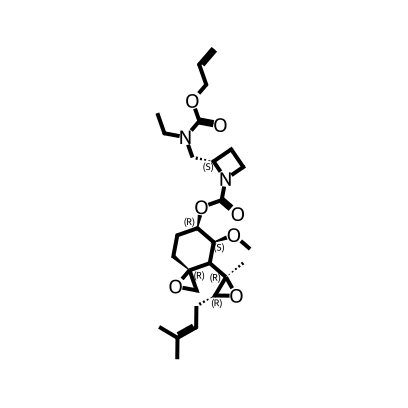 C=CCOC(=O)N(CC)C[C@@H]1CCN1C(=O)O[C@@H]1CC[C@]2(CO2)C([C@@]2(C)O[C@@H]2CC=C(C)C)[C@@H]1OC